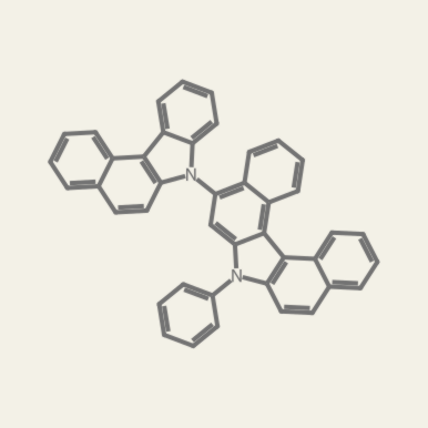 c1ccc(-n2c3ccc4ccccc4c3c3c4ccccc4c(-n4c5ccccc5c5c6ccccc6ccc54)cc32)cc1